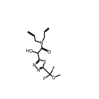 C=CCN(CC=C)C(=O)C(O)c1nnc(C(F)(F)OC)s1